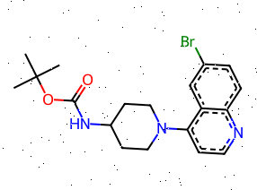 CC(C)(C)OC(=O)NC1CCN(c2ccnc3ccc(Br)cc23)CC1